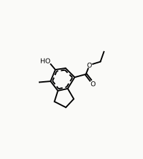 CCOC(=O)c1cc(O)c(C)c2c1CCC2